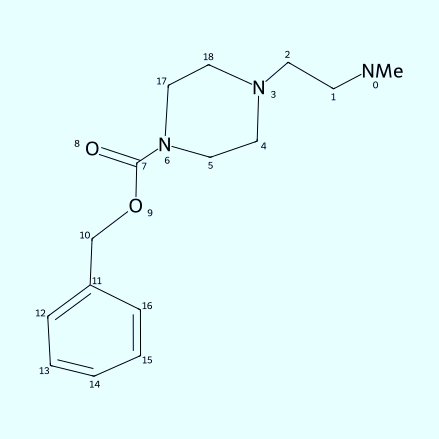 CNCCN1CCN(C(=O)OCc2ccccc2)CC1